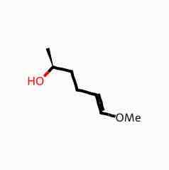 CO/C=C/CC[C@H](C)O